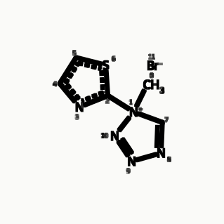 C[N+]1(c2nccs2)C=NN=N1.[Br-]